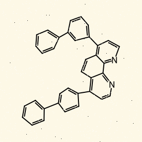 c1ccc(-c2ccc(-c3ccnc4c3ccc3c(-c5cccc(-c6ccccc6)c5)ccnc34)cc2)cc1